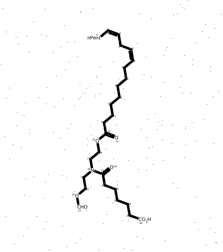 CCCCC/C=C\C/C=C\CCCCCCCC(=O)OCCN(CCOC=O)C(=O)CCCCCC(=O)O